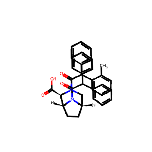 Cc1ccccc1C(C(=O)N1C[C@@H]2CC[C@H]([C@H]1C(=O)O)N2C(=O)C(c1ccccc1)c1ccccc1)c1ccccc1